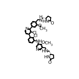 COc1cc(-c2nccc(-c3cccc(Nc4cncc(CNC[C@@H]5CCC(=O)N5)c4OC)c3Cl)c2Cl)ccc1CNC[C@@H]1CCC(=O)N1